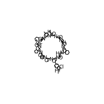 CC[C@@H]1C(=O)NC2(CCCC2)C(=O)N(C)[C@@H](C2CCCC2)C(=O)N(C)[C@H](C(=O)N2CCCCC2)CC(=O)N(C)[C@@H](CC(C)C)C(=O)N[C@@H]([C@@H](C)CC)C(=O)N(C)[C@@H](C)C(=O)N2CC[C@H]2C(=O)N(C)[C@@H](CC2CCCCC2)C(=O)N(C)CC(=O)N[C@@H](CCc2ccc(C(F)(F)F)c(Cl)c2)C(=O)N1C